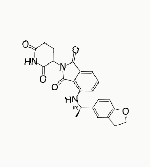 C[C@@H](Nc1cccc2c1C(=O)N(C1CCC(=O)NC1=O)C2=O)c1ccc2c(c1)CCO2